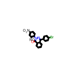 O=c1c2ccccc2c(-c2ccc(Br)cc2)nn1-c1ccc([N+](=O)[O-])cc1[N+](=O)[O-]